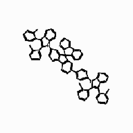 Cc1ccccc1-c1c(-c2ccccc2C)n(-c2ccc(-c3ccc4c(c3)C3(c5ccccc5-c5ccccc53)c3cc(-n5c(-c6ccccc6C)c(-c6ccccc6C)c6ccccc65)ccc3-4)cc2)c2ccccc12